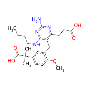 CCCCNc1nc(N)nc(CCC(=O)O)c1Cc1cc(C(C)(C)C(=O)O)ccc1OC